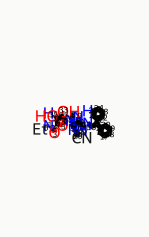 CCNC(=O)[C@H]1O[C@@H](n2cnc3c(NCC(c4ccccc4)c4ccccc4)nc(C#N)nc32)[C@H](O)[C@@H]1O